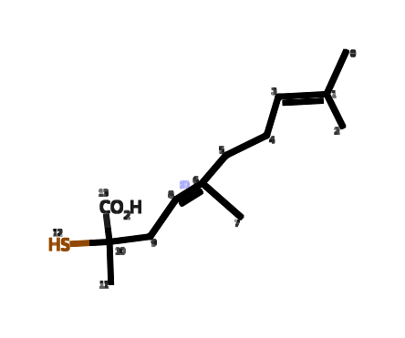 CC(C)=CCC/C(C)=C/CC(C)(S)C(=O)O